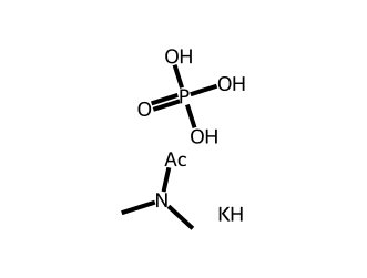 CC(=O)N(C)C.O=P(O)(O)O.[KH]